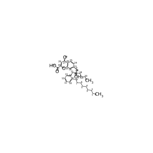 CCCCCCCCCc1ccccc1C[C@@](O)(CCCC)Sc1ccc2c(=O)cc(C(=O)O)oc2c1